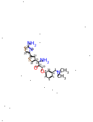 CN(C)Cc1cccc(OCC(=O)C(N)c2csc(-c3csc(N)n3)c2)c1